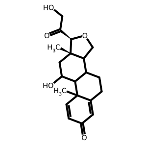 CC12C=CC(=O)C=C1CCC1C2C(O)C[C@@]2(C)C1CO[C@@H]2C(=O)CO